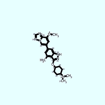 COc1cc(-c2cc(C)c3c(OC4CCC(N(C)C)CC4)n[nH]c3c2)cn2ncnc12